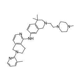 Cc1cccnc1N1CCc2c(ccnc2Nc2ccc3c(c2)CN(CCN2CCN(C)CC2)CC3(C)C)C1